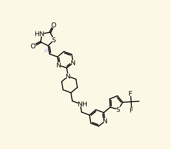 CC(F)(F)c1ccc(-c2cc(CNCC3CCN(c4nccc(/C=C5\SC(=O)NC5=O)n4)CC3)ccn2)s1